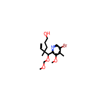 C=CC(C)(CCCO)C(OCOC)c1ncc(Br)c(C)c1OC